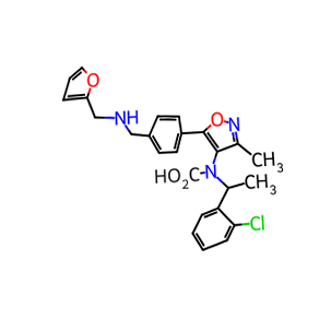 Cc1noc(-c2ccc(CNCc3ccco3)cc2)c1N(C(=O)O)C(C)c1ccccc1Cl